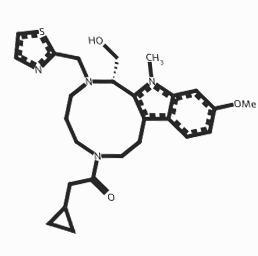 COc1ccc2c3c(n(C)c2c1)[C@@H](CO)N(Cc1nccs1)CCCN(C(=O)CC1CC1)CC3